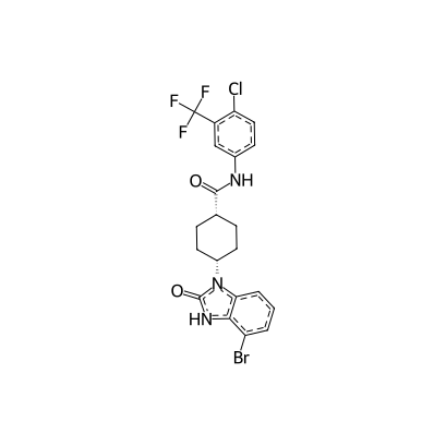 O=c1[nH]c2c(Br)cccc2n1[C@H]1CC[C@@H](C(=O)Nc2ccc(Cl)c(C(F)(F)F)c2)CC1